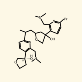 CC(C)c1ccc(C2(O)COC(CC(C)c3ccc([C@@]4(O)CCOC4)c(CN(C)C)n3)C2)c(CN(C)C)n1